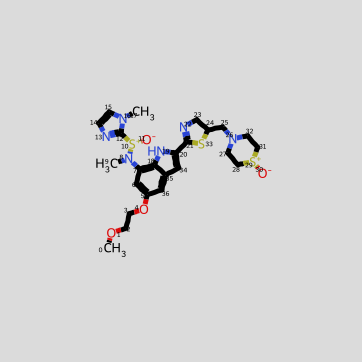 COCCOc1cc(N(C)[S+]([O-])c2nccn2C)c2[nH]c(C3=NCC(CN4CC[S+]([O-])CC4)S3)cc2c1